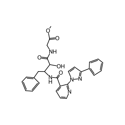 COC(=O)CNC(=O)C(O)C(Cc1ccccc1)NC(=O)c1cccnc1-n1ccc(-c2ccccc2)n1